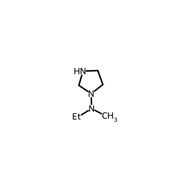 CCN(C)N1CCNC1